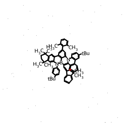 Cc1cccc(C)c1-c1cc2c3c(c1)N(c1ccc(C(C)(C)C)cc1-c1ccccc1)c1cc4c(cc1B3N(c1ccc(C(C)(C)C)cc1)c1cc3c(cc1-2)C(C)(C)CCC3(C)C)-c1ccccc1C4(C)C